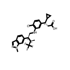 C[C@H]([C@H](CNc1cc([C@@H](CC(=O)O)C2CC2)ccc1Cl)c1ccc2cnn(C)c2c1)C(F)(F)F